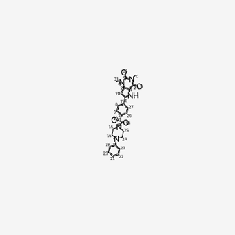 Cn1c(=O)c2[nH]c(-c3ccc(S(=O)(=O)N4CCN(c5ccccc5)CC4)cc3)cc2n(C)c1=O